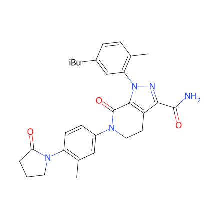 CCC(C)c1ccc(C)c(-n2nc(C(N)=O)c3c2C(=O)N(c2ccc(N4CCCC4=O)c(C)c2)CC3)c1